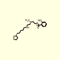 CN(CCNCCCCC[C@H]1CCSS1)CCNC(=O)c1ccccc1O